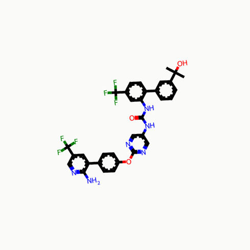 CC(C)(O)c1cccc(-c2ccc(C(F)(F)F)cc2NC(=O)Nc2cnc(Oc3ccc(-c4cc(C(F)(F)F)cnc4N)cc3)nc2)c1